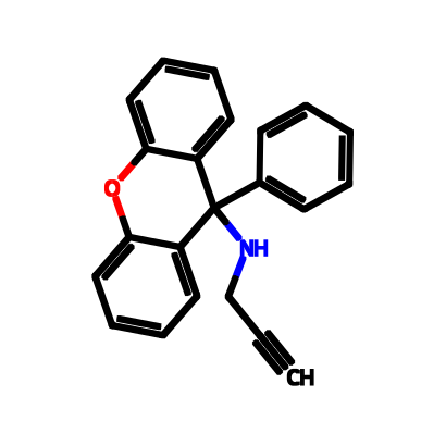 C#CCNC1(c2ccccc2)c2ccccc2Oc2ccccc21